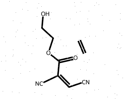 C=C.N#C/C=C(/C#N)C(=O)OCCO